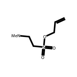 C=CCOS(=O)(=O)CCNC